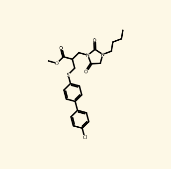 CCCCN1CC(=O)N(CC(CSc2ccc(-c3ccc(Cl)cc3)cc2)C(=O)OC)C1=O